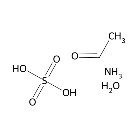 CC=O.N.O.O=S(=O)(O)O